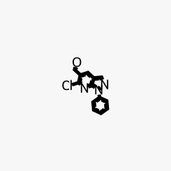 O=Cc1cc2cnn(-c3ccccc3)c2nc1Cl